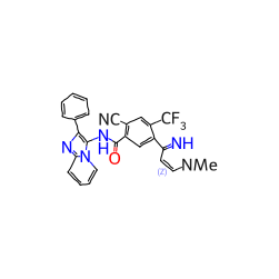 CN/C=C\C(=N)c1cc(C(=O)Nc2c(-c3ccccc3)nc3ccccn23)c(C#N)cc1C(F)(F)F